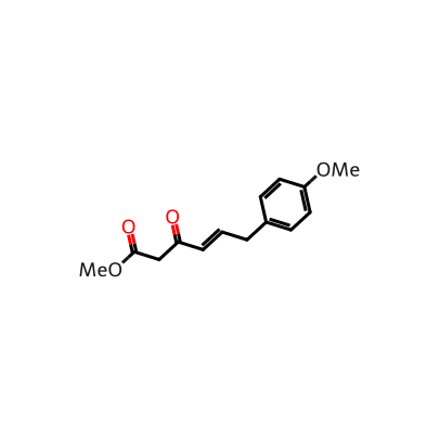 COC(=O)CC(=O)C=CCc1ccc(OC)cc1